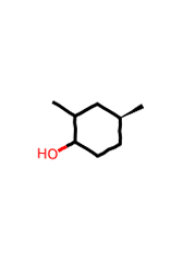 CC1C[C@@H](C)CCC1O